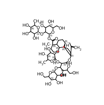 C=C1C[C@@]23CCC4[C@](C)(C(=O)O[C@@H]5OC(CO)[C@@H](O)C(O)C5O[C@@H]5OC(C)[C@H](O)C(O)C5O)CCC[C@]45OC4C(O)[C@@H](O)C(C)O[C@H]4OC4C(O[C@@H]6OC(CO)[C@@H](O)C(O)C6O)[C@H](O)C(CO)O[C@H]4O[C@@]1(CC[C@H]25)C3